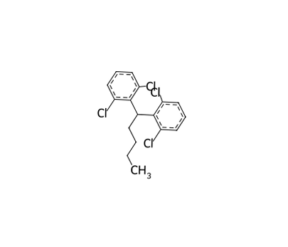 CCCCC(c1c(Cl)cccc1Cl)c1c(Cl)cccc1Cl